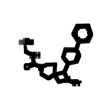 CC[C@H](C)CNC(=O)N1CCC2(CC1)CN(C(C)C)C2C1C=CC(c2ccccc2)=CC1